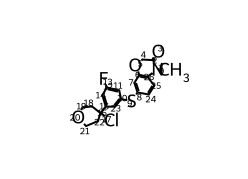 CN1C(=O)COc2cc(Sc3cc(F)cc(C4(Cl)CCOCC4)c3)ccc21